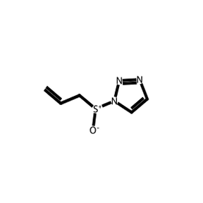 C=CC[S+]([O-])n1ccnn1